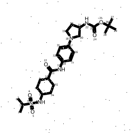 CC(C)S(=O)(=O)NC1CCC(C(=O)Nc2ccc(N3CCC(NC(=O)OC(C)(C)C)C3)cc2)CC1